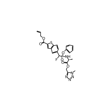 C=CCOC(=O)c1cc2cc(C(F)P(=O)(N[C@@H](C)C(=O)OCc3nnnn3C)Oc3ccccc3)ccc2s1